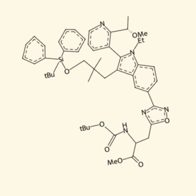 CCn1c(-c2cccnc2[C@H](C)OC)c(CC(C)(C)CO[Si](c2ccccc2)(c2ccccc2)C(C)(C)C)c2cc(-c3noc(CC(NC(=O)OC(C)(C)C)C(=O)OC)n3)ccc21